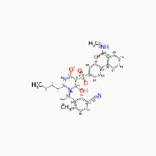 CCCCc1nc(=O)c(S(=O)(=O)c2ccc(-c3ccccc3C(=O)NC)cc2)c(O)n1C(CC)c1cccc(C#N)c1